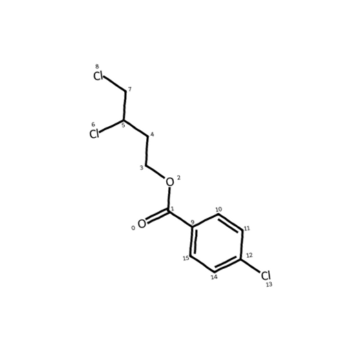 O=C(OCCC(Cl)CCl)c1ccc(Cl)cc1